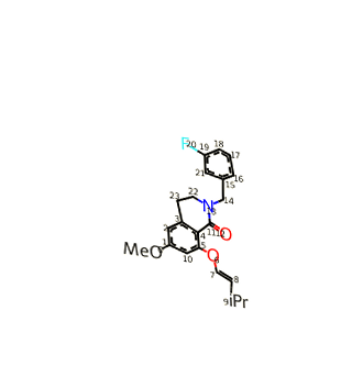 COc1cc2c(c(OC=CC(C)C)c1)C(=O)N(Cc1cccc(F)c1)CC2